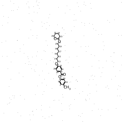 Cc1ccc(OC(=O)c2ccc(OCCCCCCCCOC3CCCCO3)cc2)cc1